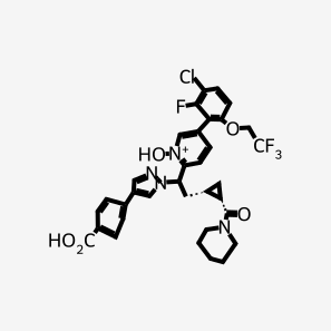 O=C(O)c1ccc(-c2cnn(C(C[C@@H]3C[C@@H]3C(=O)N3CCCCC3)c3ccc(-c4c(OCC(F)(F)F)ccc(Cl)c4F)c[n+]3O)c2)cc1